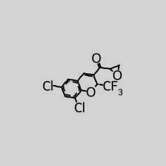 O=C(C1=Cc2cc(Cl)cc(Cl)c2O[C@@H]1C(F)(F)F)C1CO1